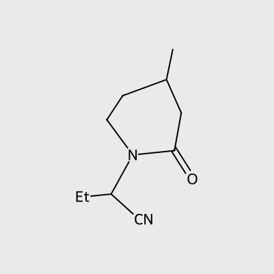 CCC(C#N)N1CCC(C)CC1=O